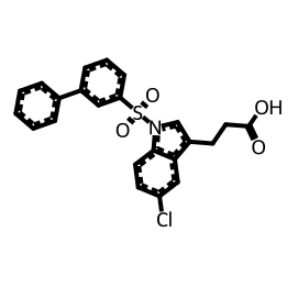 O=C(O)CCc1cn(S(=O)(=O)c2cccc(-c3ccccc3)c2)c2ccc(Cl)cc12